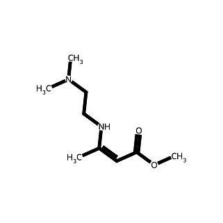 COC(=O)/C=C(/C)NCCN(C)C